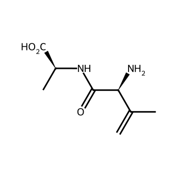 C=C(C)[C@H](N)C(=O)N[C@@H](C)C(=O)O